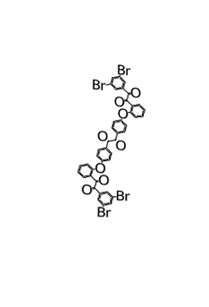 O=C(C(=O)c1ccc(Oc2ccccc2C(=O)C(=O)c2cc(Br)cc(Br)c2)cc1)c1ccc(Oc2ccccc2C(=O)C(=O)c2cc(Br)cc(Br)c2)cc1